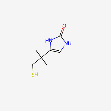 CC(C)(CS)c1c[nH]c(=O)[nH]1